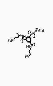 CCCC(C)NC(=O)c1cc(C(=O)NCCCC(C)C)cc(C(=O)NC(C)CCC(C)(C)C)c1